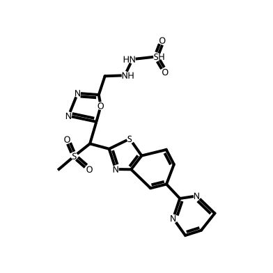 CS(=O)(=O)C(c1nnc(CNN[SH](=O)=O)o1)c1nc2cc(-c3ncccn3)ccc2s1